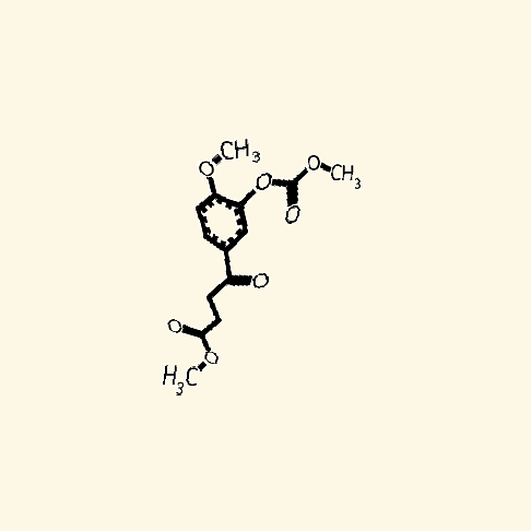 COC(=O)CCC(=O)c1ccc(OC)c(OC(=O)OC)c1